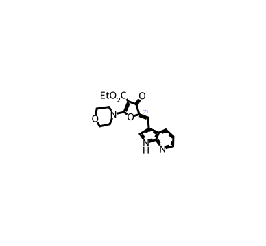 CCOC(=O)C1=C(N2CCOCC2)O/C(=C\c2c[nH]c3ncccc23)C1=O